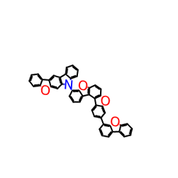 c1ccc2c(c1)oc1cc3c(cc12)c1ccccc1n3-c1cccc2c1oc1ccc3oc4cc(-c5cccc6c5oc5ccccc56)ccc4c3c12